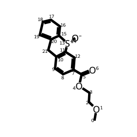 COCCOC(=O)c1ccc2c(c1)[S+]([O-])c1ccccc1C2